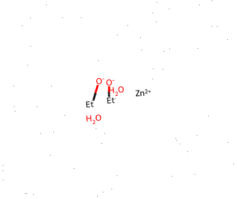 CC[O-].CC[O-].O.O.[Zn+2]